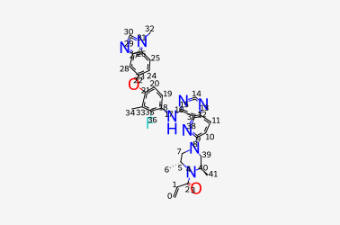 C=CC(=O)N1[C@H](C)CN(c2ccc3ncnc(Nc4ccc(Oc5ccc6c(c5)ncn6C)c(C)c4F)c3n2)C[C@H]1C